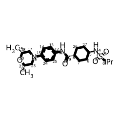 CC(C)S(=O)(=O)N[C@H]1CC[C@H](C(=O)Nc2ccc(N3C[C@@H](C)O[C@@H](C)C3)cc2)CC1